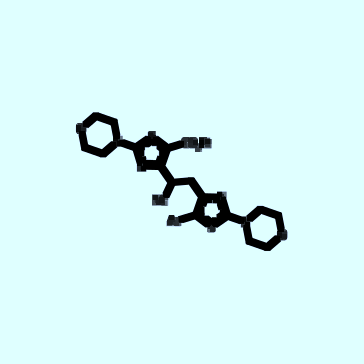 CCOC(=O)c1sc(N2CCOCC2)nc1C(C#N)Cc1nc(N2CCOCC2)sc1C(C)=O